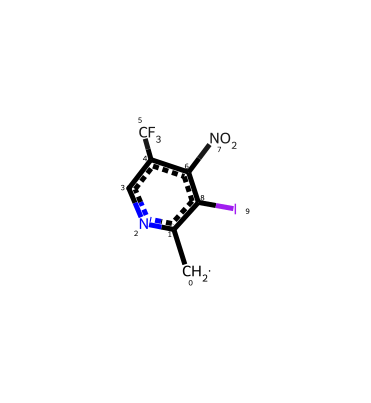 [CH2]c1ncc(C(F)(F)F)c([N+](=O)[O-])c1I